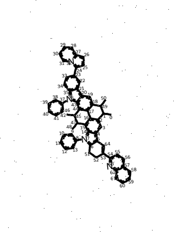 CC1c2cc3c4c(n(-c5ccccc5)c3c3c2-c2c(cc5c6cc(-c7ccc8ccccn78)ccc6n(-c6ccccc6)c5c2C(C)C3C)C1C)CCC(c1ccc2ccccc2n1)=C4